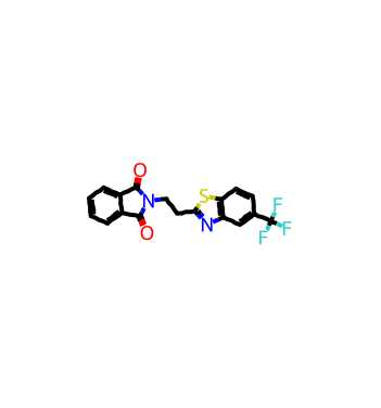 O=C1c2ccccc2C(=O)N1CCc1nc2cc(C(F)(F)F)ccc2s1